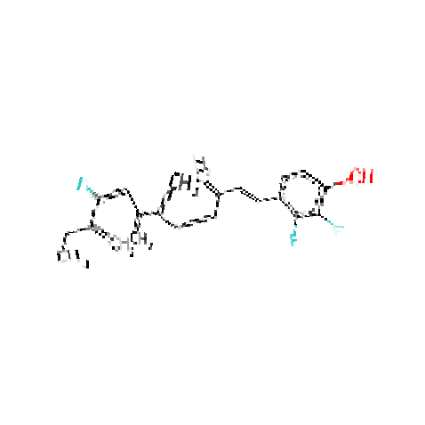 C=C(/C=C\C(=C)C(=C)/C=C(/F)C(=C)CC)/C=C/c1ccc(O)c(F)c1F